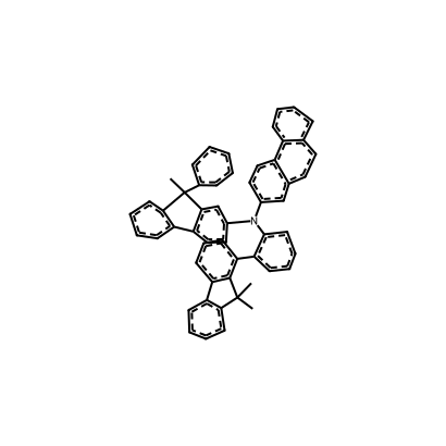 CC1(C)c2ccccc2-c2cccc(-c3ccccc3N(c3ccc4c(c3)C(C)(c3ccccc3)c3ccccc3-4)c3ccc4c(ccc5ccccc54)c3)c21